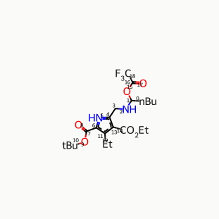 CCCCC(NCc1[nH]c(C(=O)OC(C)(C)C)c(CC)c1C(=O)OCC)OC(=O)C(F)(F)F